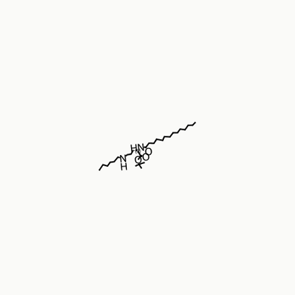 CCCCCCCCCCCCCC(=O)N[C@@H](CCCNCCCCCC)C(=O)OC(C)(C)C